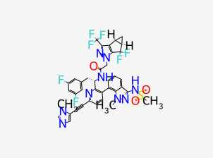 Cn1cncc1C#Cc1ccc(-c2cccc3c(NS(C)(=O)=O)nn(C)c23)c([C@H](Cc2cc(F)cc(F)c2)NC(=O)Cn2nc(C(F)(F)F)c3c2C(F)(F)[C@@H]2C[C@H]32)n1